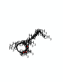 CCOCCOCCN(C)C(=O)c1cnc(N2CCN(c3ncc(CNC(=O)O[C@@H]4CC[C@@H](C[C@@H](C)[C@@H]5C[C@@H](OC)[C@H](C)/C=C(\C)[C@@H](O)[C@@H](O)C(=O)[C@H](C)C[C@H](C)/C=C/C=C/C=C(\C)[C@@H](OC)C[C@@H]6CC[C@@H](C)[C@@](O)(O6)C(=O)C(=O)N6CCCC[C@H]6C(=O)O5)C[C@H]4OC)cn3)CC2)nc1N